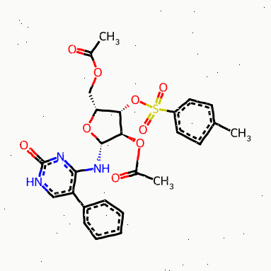 CC(=O)OC[C@H]1O[C@@H](Nc2nc(=O)[nH]cc2-c2ccccc2)[C@H](OC(C)=O)[C@H]1OS(=O)(=O)c1ccc(C)cc1